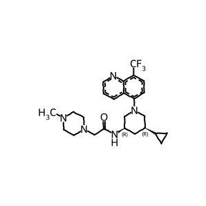 CN1CCN(CC(=O)N[C@@H]2C[C@H](C3CC3)CN(c3ccc(C(F)(F)F)c4ncccc34)C2)CC1